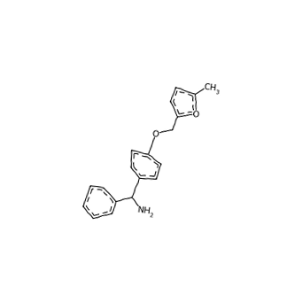 Cc1ccc(COc2ccc(C(N)c3ccccc3)cc2)o1